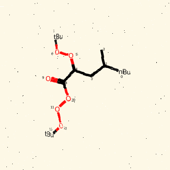 CCCCC(C)CC(OOC(C)(C)C)C(=O)OOOC(C)(C)C